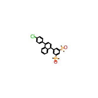 CP(C)(=O)c1cc(-c2ccc(-c3ccc(Cl)cc3)c3ccccc23)cc(P(C)(C)=O)c1